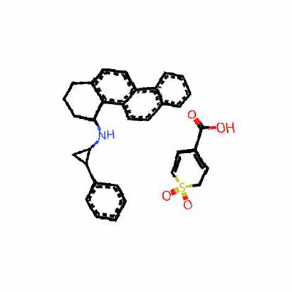 O=C(O)C1=CCS(=O)(=O)C=C1.c1ccc(C2CC2NC2CCCc3ccc4c(ccc5ccccc54)c32)cc1